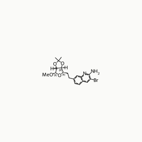 CO[C@@H]1O[C@H](CCc2ccc3cc(Br)c(N)nc3c2)[C@H]2OC(C)(C)O[C@@H]12